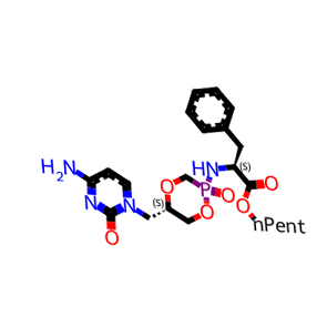 CCCCCOC(=O)[C@H](Cc1ccccc1)NP1(=O)CO[C@@H](Cn2ccc(N)nc2=O)CO1